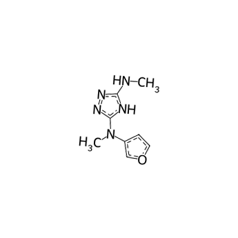 CNc1nnc(N(C)c2ccoc2)[nH]1